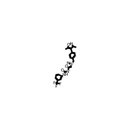 Cc1noc(C)c1-c1ccc(C[n+]2cc([N-]C(=O)Nc3cccc(C(F)(F)F)c3)on2)cc1